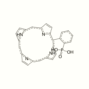 O=P(O)(O)c1ccccc1-c1c2nc(cc3ccc(cc4nc(cc5ccc1[nH]5)C=C4)[nH]3)C=C2